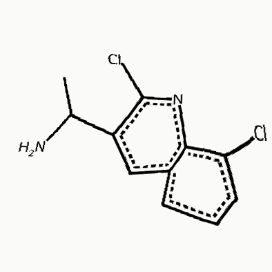 CC(N)c1cc2cccc(Cl)c2nc1Cl